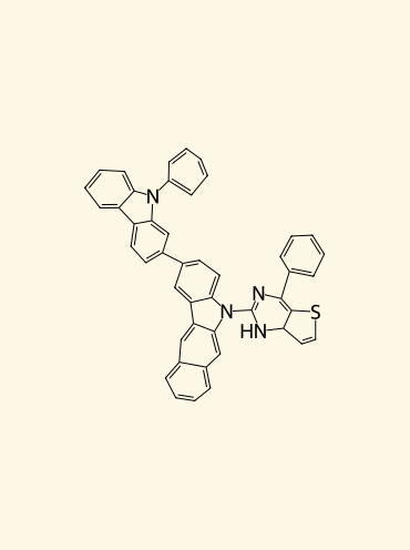 C1=CC2NC(n3c4ccc(-c5ccc6c7ccccc7n(-c7ccccc7)c6c5)cc4c4cc5ccccc5cc43)=NC(c3ccccc3)=C2S1